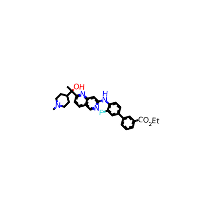 CCOC(=O)c1cccc(-c2ccc(Nc3cc4nc(C(C)(O)C5CCN(C)CC5)ccc4cn3)c(F)c2)c1